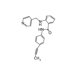 CC#Cc1ccc(NC(=O)c2ccccc2NCc2ccncc2)cc1